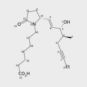 CCC#CC[C@H](C)[C@@H](O)/C=C/[C@H]1CCC(=O)N1CCCCCCC(=O)O